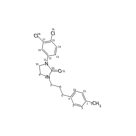 Cc1ccc(CCCN2CCN(c3ccc(Cl)c(Cl)c3)C2=O)cc1